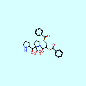 O=C(SCC(SC(=O)c1ccccc1)C(=O)N1CCCC1(C(=O)O)C(=O)C1CCCN1)c1ccccc1